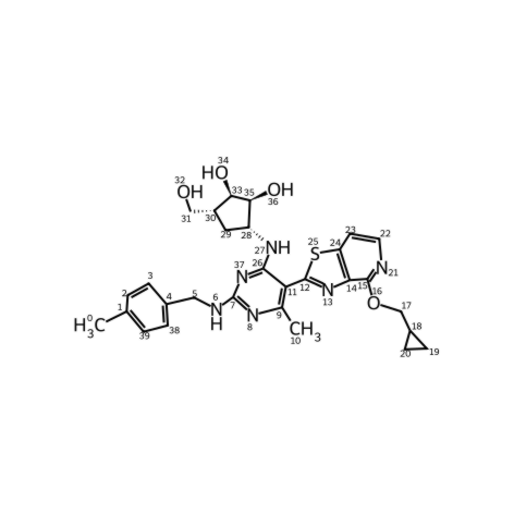 Cc1ccc(CNc2nc(C)c(-c3nc4c(OCC5CC5)nccc4s3)c(N[C@@H]3C[C@H](CO)[C@@H](O)[C@H]3O)n2)cc1